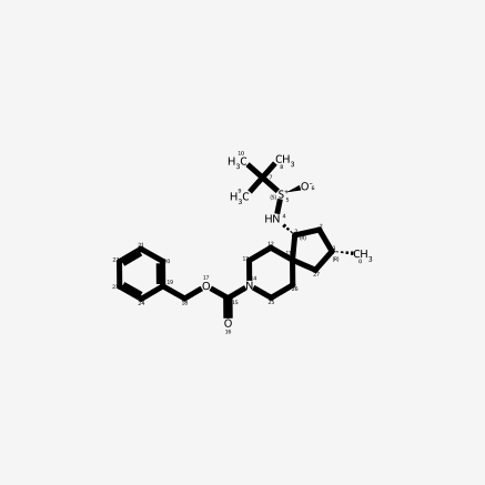 C[C@H]1C[C@@H](N[S@+]([O-])C(C)(C)C)C2(CCN(C(=O)OCc3ccccc3)CC2)C1